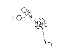 CCCCCCCC(=O)n1c(N(C)C2CCN(c3nc4ccccc4n3Cc3ccc(F)cc3)CC2)nccc1=O